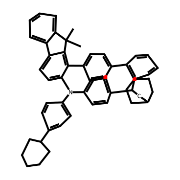 CC1(C)c2ccccc2-c2ccc(N(c3ccc(C4CCCCC4)cc3)c3ccc(C4CC5CCC4CC5)cc3)c(-c3ccc(-c4ccccc4)cc3)c21